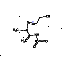 C=C(N[SH](=O)=O)N(C)/N=C/CC#N